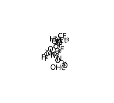 CC[C@H](NS(=O)(=O)c1ccc(-c2sc(-c3cccc(CC(C)(C)OC=O)n3)nc2C(=O)N2CC(F)(F)C[C@@H]2C)c(C(F)F)c1F)C(F)(F)F